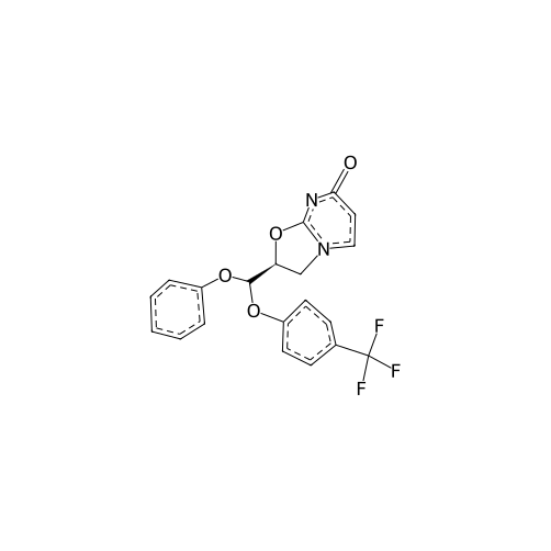 O=c1ccn2c(n1)O[C@H](C(Oc1ccccc1)Oc1ccc(C(F)(F)F)cc1)C2